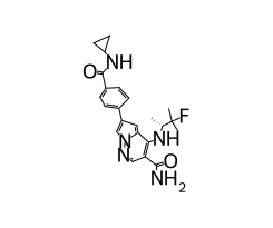 C[C@@H](Nc1c(C(N)=O)cnn2cc(-c3ccc(C(=O)NC4CC4)cc3)cc12)C(C)(C)F